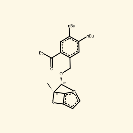 CCCCc1cc(CO[C@@H]2n3ccc4c3[C@@]2(C)S4)c(C(=O)CC)cc1CCCC